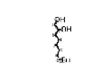 CC(C)(C)CCCCCC(O)CO